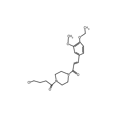 CCOc1ccc(/C=C/C(=O)N2CCN(C(=O)CCCCl)CC2)cc1OC